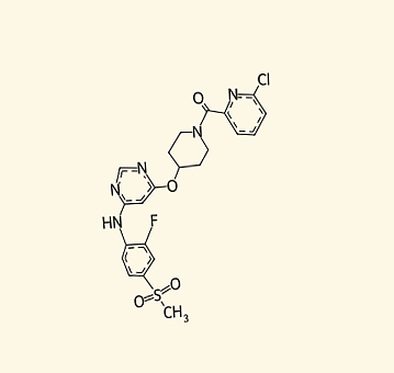 CS(=O)(=O)c1ccc(Nc2cc(OC3CCN(C(=O)c4cccc(Cl)n4)CC3)ncn2)c(F)c1